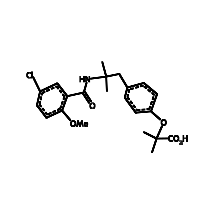 COc1ccc(Cl)cc1C(=O)NC(C)(C)Cc1ccc(OC(C)(C)C(=O)O)cc1